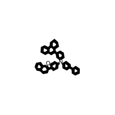 c1ccc(-c2ccc(N(c3cccc(-c4cc5ccccc5c5ccccc45)c3)c3ccc4c(c3)oc3c5ccccc5ccc43)cc2)cc1